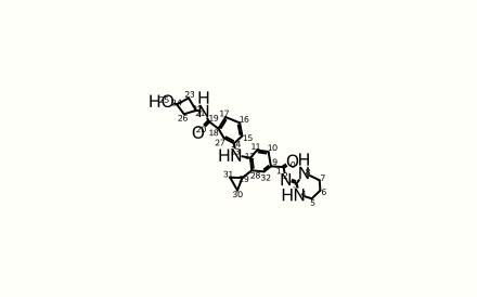 O=C(N=C1NCCCN1)c1ccc(Nc2cccc(C(=O)NC3CC(O)C3)c2)c(C2CC2)c1